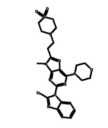 CCc1nc2ccccc2n1-c1nc(N2CCOCC2)c2nc(CCN3CCS(=O)(=O)CC3)n(C)c2n1